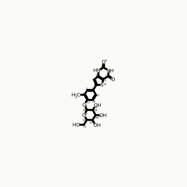 Cc1cc(-c2cc3[nH]c(=O)[nH]c(=O)c3s2)ccc1OC1OC(CO)C(O)C(O)C1O